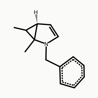 CC1[C@H]2C=CN(Cc3ccccc3)C12C